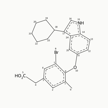 Cc1cc(CC(=O)O)cc(Br)c1Oc1ccc2[nH]cc(C3CCCCC3)c2c1